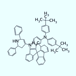 CC1CC=CC2=C1C1(c3ccccc32)c2ccccc2-c2c1c1cc(N(c3ccc(C(C)(C)C)cc3)c3ccc(C(C)(C)C)cc3)ccc1n2C1=CC(c2ccccc2)NC(c2ccccc2)C1